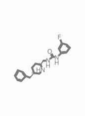 O=C(NC[C@@H]1CC[C@H](Cc2ccccc2)CN1)Nc1cccc(F)c1